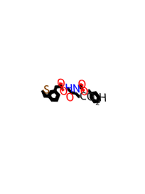 O=C(O)CC(NC(=O)OCc1ccccc1)C(=O)COC(=O)Cc1cccc2ccsc12